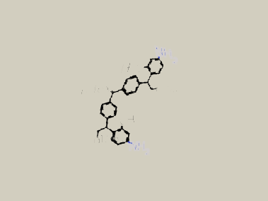 CCCCCCCCCCCC(c1ccc(C(CCCCCC)c2ccc(C(CCCCCCCCCCC)c3ccc(N)cc3C)cc2)cc1)c1ccc(N)cc1C